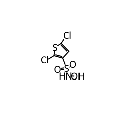 O=S(=O)(NO)c1cc(Cl)sc1Cl